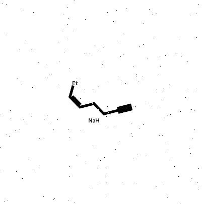 [C]#CCC/C=C\CC.[NaH]